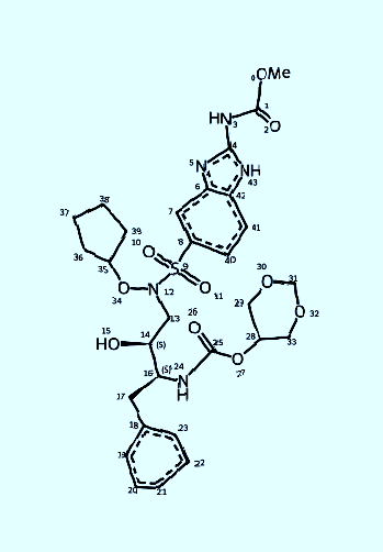 COC(=O)Nc1nc2cc(S(=O)(=O)N(C[C@H](O)[C@H](Cc3ccccc3)NC(=O)OC3COCOC3)OC3CCCC3)ccc2[nH]1